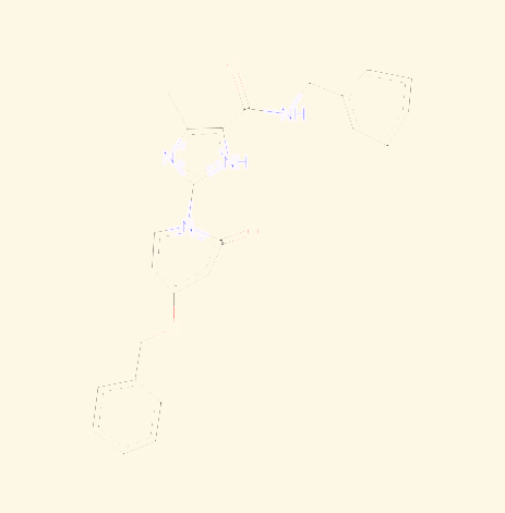 Cc1nc(-n2ccc(OCc3ccccc3)cc2=O)[nH]c1C(=O)NCc1ccccc1